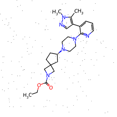 CCOC(=O)N1CC2(CC[C@@H](N3CCN(c4ncccc4-c4cnn(C)c4C)CC3)C2)C1